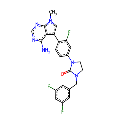 Cn1cc(-c2ccc(N3CCN(Cc4cc(F)cc(F)c4)C3=O)cc2F)c2c(N)ncnc21